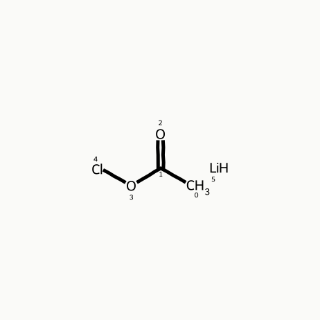 CC(=O)OCl.[LiH]